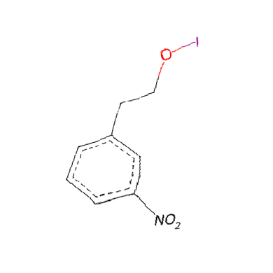 O=[N+]([O-])c1cccc(CCOI)c1